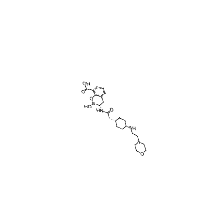 O=C(C[C@H]1CC[C@H](NCCN2CCOCC2)CC1)N[C@H]1Cc2cccc(C(=O)O)c2OB1O